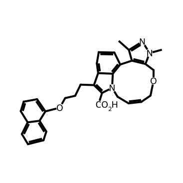 Cc1nn(C)c2c1-c1cccc3c(CCCOc4cccc5ccccc45)c(C(=O)O)n(c13)C/C=C\COC2